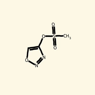 CS(=O)(=O)Oc1conn1